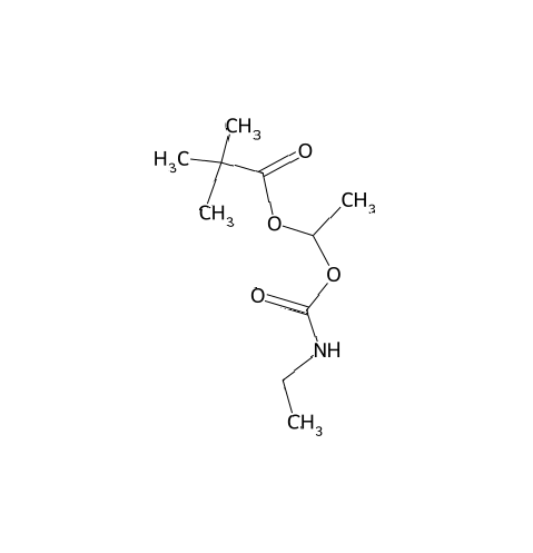 CCNC(=O)OC(C)OC(=O)C(C)(C)C